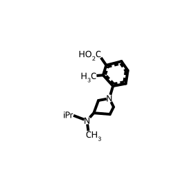 Cc1c(C(=O)O)cccc1N1CCC(N(C)C(C)C)C1